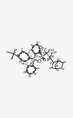 CC(C)(C)c1ccc(S(OS(=O)(=O)C(F)(F)C(F)(F)C2CC3CCC2C3)(c2ccccc2)c2ccccc2)cc1